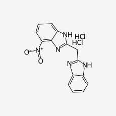 Cl.Cl.O=[N+]([O-])c1cccc2[nH]c(Cc3nc4ccccc4[nH]3)nc12